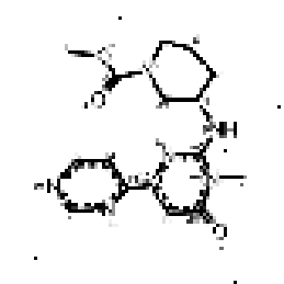 COC(=O)N1CCC[C@@H](Nc2nc(-c3ccncn3)cc(=O)n2C)C1